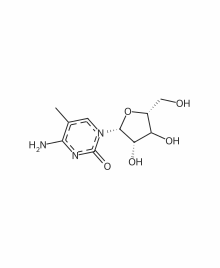 Cc1cn([C@@H]2O[C@H](CO)C(O)[C@@H]2O)c(=O)nc1N